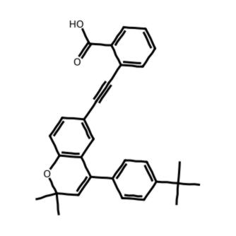 CC1(C)C=C(c2ccc(C(C)(C)C)cc2)c2cc(C#Cc3ccccc3C(=O)O)ccc2O1